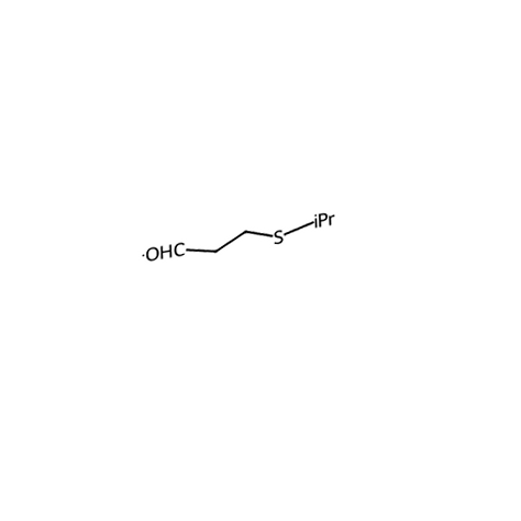 CC(C)SCC[C]=O